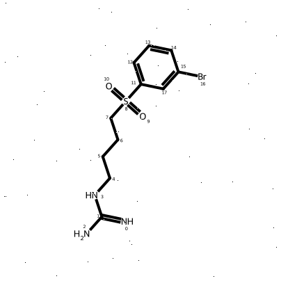 N=C(N)NCCCCS(=O)(=O)c1cccc(Br)c1